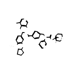 COc1ccc([C@@H](Cc2c(Cl)cncc2Cl)OC(=O)c2ccc(CN(C(=O)O[C@H]3CN4CCC3CC4)c3cccnc3)cc2)cc1OC1CCCC1